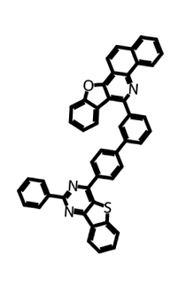 c1ccc(-c2nc(-c3ccc(-c4cccc(-c5nc6c7ccccc7ccc6c6oc7ccccc7c56)c4)cc3)c3sc4ccccc4c3n2)cc1